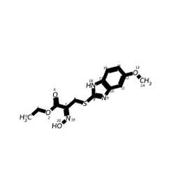 CCOC(=O)C(CSc1nc2cc(OC)ccc2[nH]1)=NO